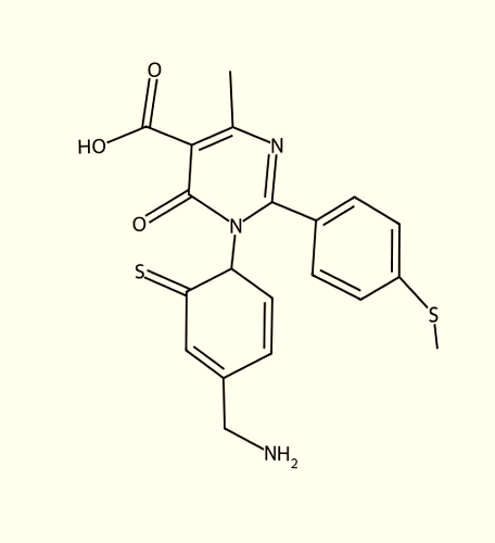 CSc1ccc(-c2nc(C)c(C(=O)O)c(=O)n2C2C=CC(CN)=CC2=S)cc1